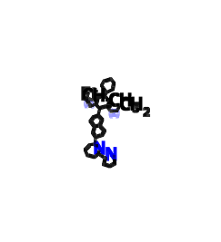 C=C/C=C\C1=C(c2ccc3cc(C4=NC(c5ccccn5)C=CC=C4)ccc3c2)C(/C=C\C)=C(CC)C(C2C=CC=CC2)C1C